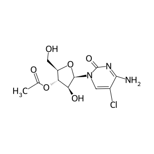 CC(=O)O[C@H]1[C@H](O)[C@H](n2cc(Cl)c(N)nc2=O)O[C@@H]1CO